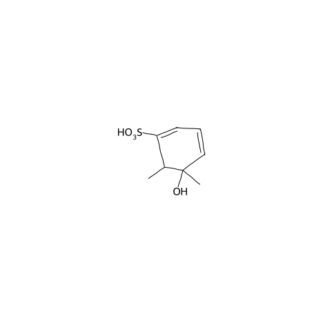 CC1C(S(=O)(=O)O)=CC=CC1(C)O